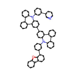 c1cncc(-c2cccc(N3c4ccccc4-c4ccccc4-c4cc(-c5ccc6c(c5)-c5ccccc5-c5ccccc5N6c5cccc(-c6cccc7c6oc6ccccc67)c5)ccc43)c2)c1